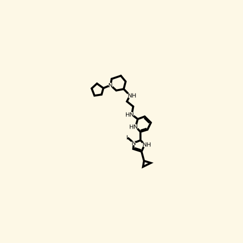 IN1C=C(C2CC2)NC1C1=CC=CC(NCCNC2CCCN(C3CCCC3)C2)N1